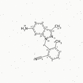 Cc1cccc(C#N)c1Cn1nc(C)c2ccc(N)cc21